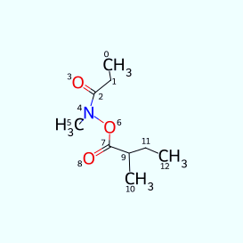 CCC(=O)N(C)OC(=O)C(C)CC